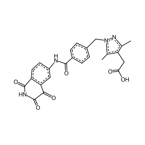 Cc1nn(Cc2ccc(C(=O)Nc3ccc4c(c3)C(=O)C(=O)NC4=O)cc2)c(C)c1CC(=O)O